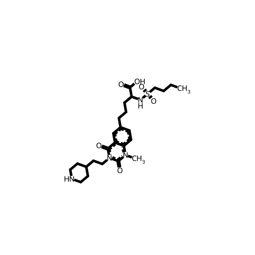 CCCCS(=O)(=O)NC(CCCc1ccc2c(c1)c(=O)n(CCC1CCNCC1)c(=O)n2C)C(=O)O